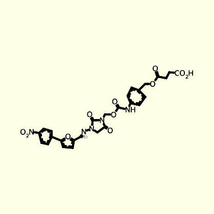 O=C(O)CCC(=O)OCc1ccc(NC(=O)OCN2C(=O)CN(/N=C/c3ccc(-c4ccc([N+](=O)[O-])cc4)o3)C2=O)cc1